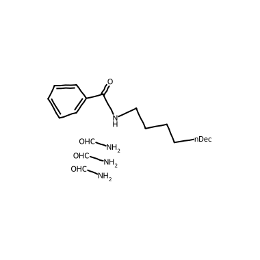 CCCCCCCCCCCCCCNC(=O)c1ccccc1.NC=O.NC=O.NC=O